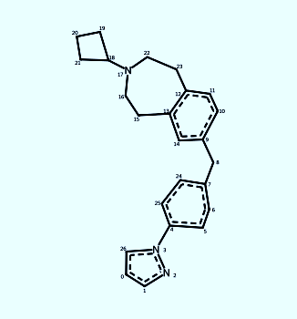 c1cnn(-c2ccc(Cc3ccc4c(c3)CCN(C3CCC3)CC4)cc2)c1